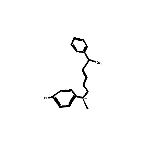 C[C@H](CCCCC(O)c1ccccc1)c1ccc(Br)cc1